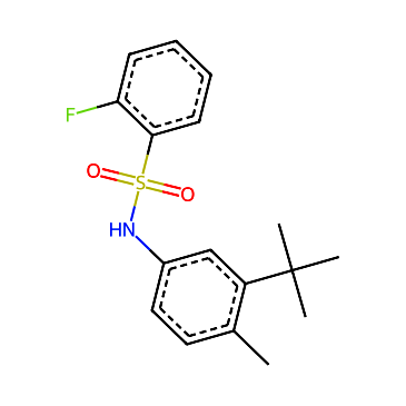 Cc1ccc(NS(=O)(=O)c2ccccc2F)cc1C(C)(C)C